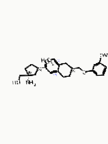 C=C(/C=C1/CC[C@H](COc2cccc(OC)c2)C/C1=C/C)[C@H]1CC[C@](N)(CO)C1